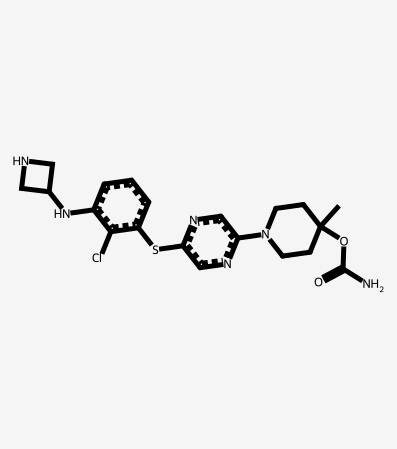 CC1(OC(N)=O)CCN(c2cnc(Sc3cccc(NC4CNC4)c3Cl)cn2)CC1